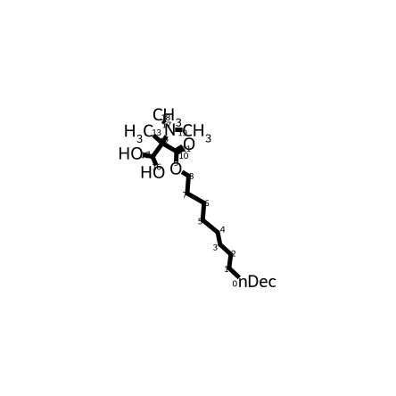 CCCCCCCCCCCCCCCCCCOC(=O)C(C)(C(O)O)N(C)C